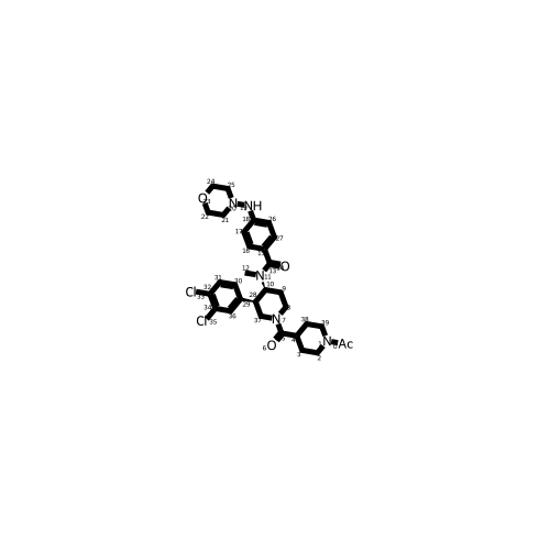 CC(=O)N1CCC(C(=O)N2CC[C@@H](N(C)C(=O)c3ccc(NN4CCOCC4)cc3)[C@H](c3ccc(Cl)c(Cl)c3)C2)CC1